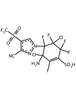 N#Cc1nn(C2(F)C(N)(Cl)C(F)=C(S(=O)(=O)O)C(F)(F)C2(F)Cl)cc1S(=O)(=O)C(F)(F)F